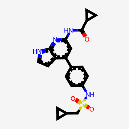 O=C(Nc1cc(-c2ccc(NS(=O)(=O)CC3CC3)cc2)c2cc[nH]c2n1)C1CC1